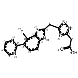 O=C(O)Cc1nnc(Cc2nc3ccc(-c4ncccn4)c(F)c3s2)o1